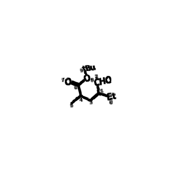 CCC(C=O)CC(C)C(=O)OC(C)(C)C